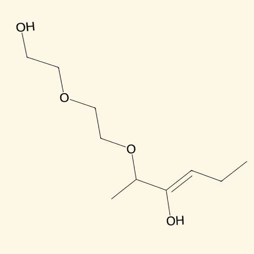 CCC=C(O)C(C)OCCOCCO